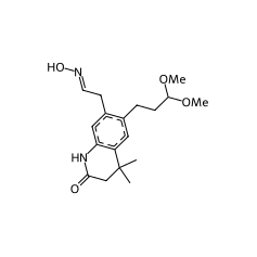 COC(CCc1cc2c(cc1CC=NO)NC(=O)CC2(C)C)OC